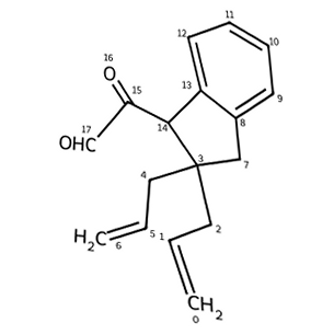 C=CCC1(CC=C)Cc2ccccc2C1C(=O)C=O